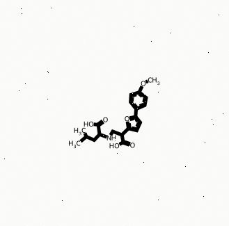 COc1ccc(-c2ccc(C(CNC(CC(C)C)C(=O)O)C(=O)O)o2)cc1